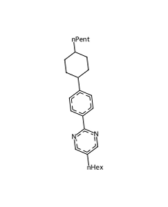 CCCCCCc1cnc(-c2ccc(C3CCC(CCCCC)CC3)cc2)nc1